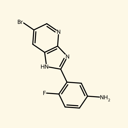 Nc1ccc(F)c(-c2nc3ncc(Br)cc3[nH]2)c1